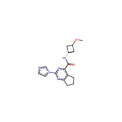 CO[C@H]1C[C@H](NC(=O)c2nc(-n3ccnc3)nc3c2CCC3)C1